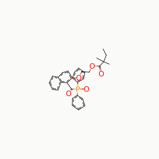 CCC(C)(C)C(=O)OCCOc1ccc2ccccc2c1C(=O)P(=O)(c1ccccc1)c1ccccc1